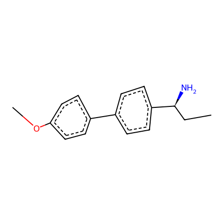 CC[C@H](N)c1ccc(-c2ccc(OC)cc2)cc1